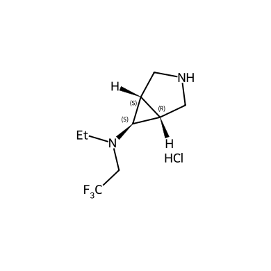 CCN(CC(F)(F)F)[C@H]1[C@@H]2CNC[C@@H]21.Cl